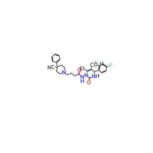 CCC1=C(C(=O)O)C(c2ccc(F)cc2F)NC(=O)N1NC(=O)CCCN1CCC(C#N)(c2ccccc2)CC1